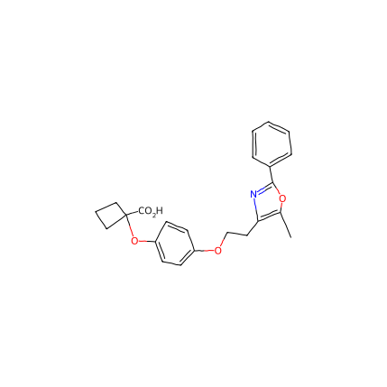 Cc1oc(-c2ccccc2)nc1CCOc1ccc(OC2(C(=O)O)CCC2)cc1